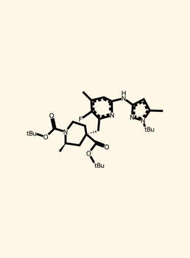 Cc1cc(Nc2cc(C)n(C(C)(C)C)n2)nc(C[C@@]2(C(=O)OC(C)(C)C)CCN(C(=O)OC(C)(C)C)[C@H](C)C2)c1F